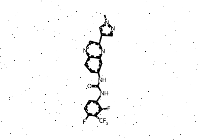 Cn1cc(-c2cnc3ccc(NC(=O)Nc4ccc(F)c(C(F)(F)F)c4F)cc3n2)cn1